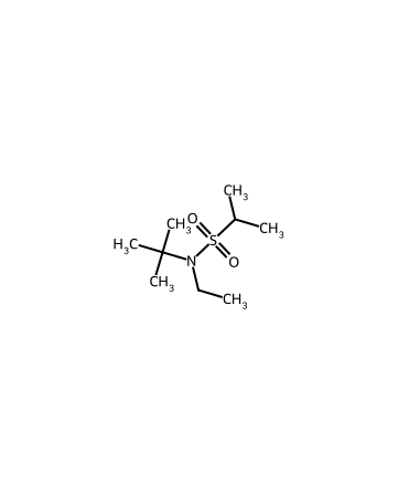 CCN(C(C)(C)C)S(=O)(=O)C(C)C